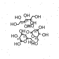 OC[C@@H](O)[C@@H](O)[C@H](O)[C@@H](O)CO.OC[C@H]1O[C@H](O[C@H]2[C@H](O)[C@@H](O)[C@H](O)O[C@@H]2CO)[C@H](O)[C@@H](O)[C@@H]1O